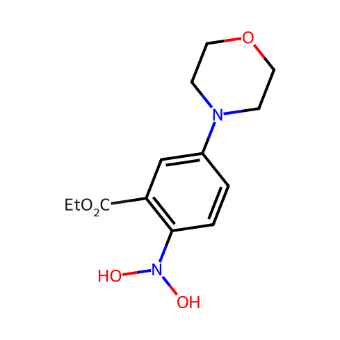 CCOC(=O)c1cc(N2CCOCC2)ccc1N(O)O